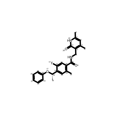 Cc1cc(C)c(CNC(=O)c2cc(F)c([C@H](C)Oc3ccccc3)cc2C)c(=O)[nH]1